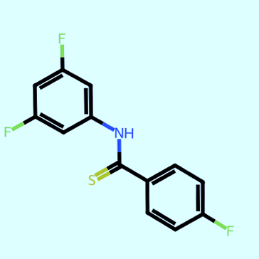 Fc1ccc(C(=S)Nc2cc(F)cc(F)c2)cc1